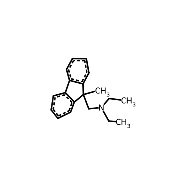 CCN(CC)CC1(C)c2ccccc2-c2ccccc21